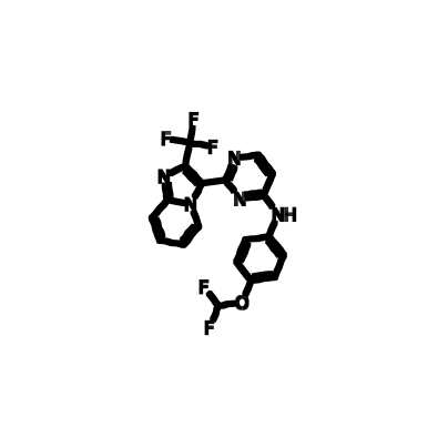 FC(F)Oc1ccc(Nc2ccnc(-c3c(C(F)(F)F)nc4ccccn34)n2)cc1